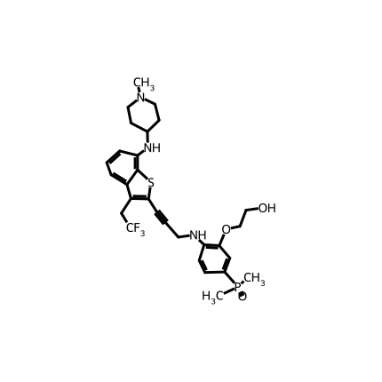 CN1CCC(Nc2cccc3c(CC(F)(F)F)c(C#CCNc4ccc(P(C)(C)=O)cc4OCCO)sc23)CC1